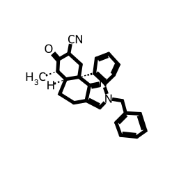 C[C@@H]1C(=O)C(C#N)C[C@@]2(c3ccccc3)c3nn(Cc4ccccc4)cc3CC[C@@H]12